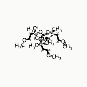 COCC[Si](C)(C)OP(=O)(O[Si](C)(C)CCOC)O[Si](C)(C)CCOC